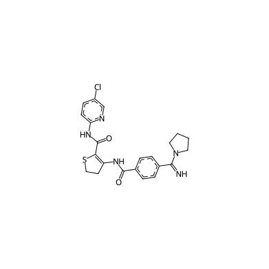 N=C(c1ccc(C(=O)NC2=C(C(=O)Nc3ccc(Cl)cn3)SCC2)cc1)N1CCCC1